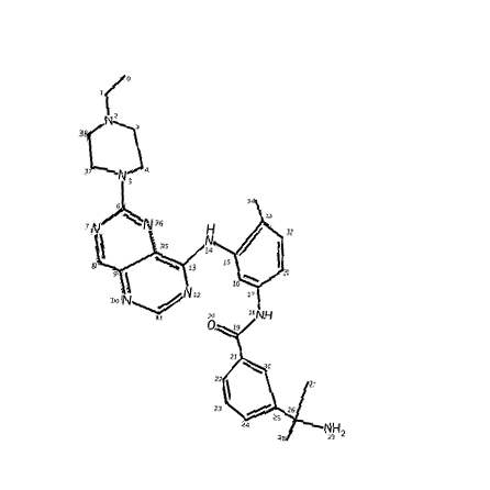 CCN1CCN(c2ncc3ncnc(Nc4cc(NC(=O)c5cccc(C(C)(C)N)c5)ccc4C)c3n2)CC1